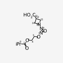 CC(C)C(=O)OCCOn1on1N1CC(C(=O)O)C1